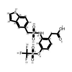 O=C(O)Cc1ccc(OS(=O)(=O)C(F)(F)F)cc1NS(=O)(=O)Cc1ccc2sccc2c1